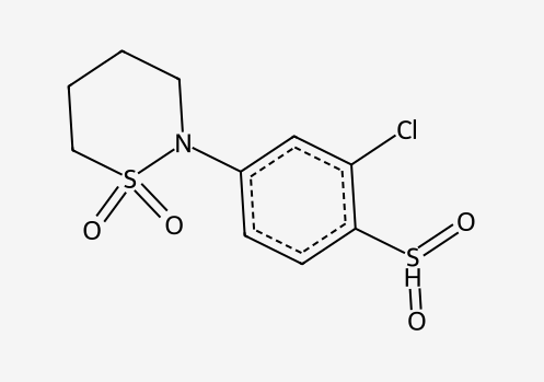 O=[SH](=O)c1ccc(N2CCCCS2(=O)=O)cc1Cl